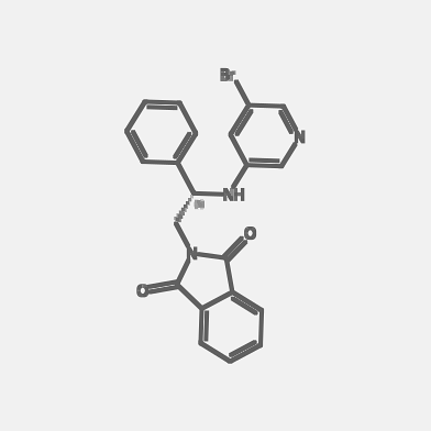 O=C1c2ccccc2C(=O)N1C[C@@H](Nc1cncc(Br)c1)c1ccccc1